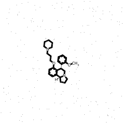 COc1ccccc1[C@@H]1CN2CCC[C@H]2c2cccc(OCCCN3CCCCC3)c21